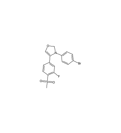 CS(=O)(=O)c1ccc(C2=COCN2c2ccc(Br)cc2)cc1F